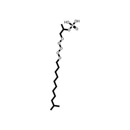 CC(C)CCCCCCCCCOOOOOCC(C)OP(=O)(O)O